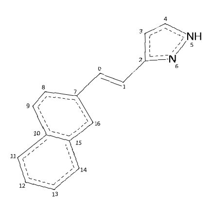 C(=Cc1cc[nH]n1)c1ccc2ccccc2c1